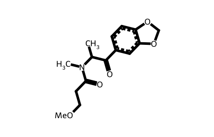 COCCC(=O)N(C)C(C)C(=O)c1ccc2c(c1)OCO2